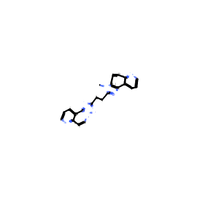 Cn1c(CCc2nc3c4cccnc4ccn3n2)nc2c3cccnc3ccc21